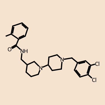 Cc1ccccc1C(=O)NCC1CCCN(C2CCN(Cc3ccc(Cl)c(Cl)c3)CC2)C1